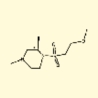 COCCS(=O)(=O)N1CCN(C)C[C@H]1C